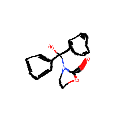 O=C1OCCN1C(O)(c1ccccc1)c1ccccc1